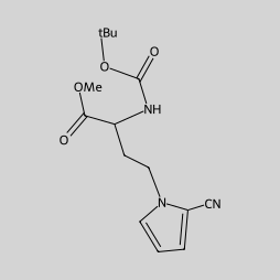 COC(=O)C(CCn1cccc1C#N)NC(=O)OC(C)(C)C